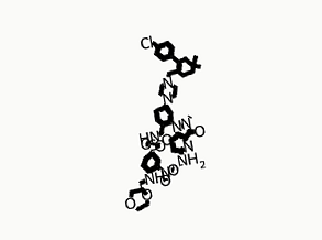 Cn1c(=O)c2nc(N)ccc2n1-c1cc(N2CCN(CC3=C(c4ccc(Cl)cc4)CC(C)(C)CC3)CC2)ccc1C(=O)NS(=O)(=O)c1ccc(NC[C@H]2COCCO2)c([N+](=O)[O-])c1